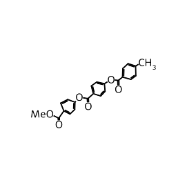 COC(=O)c1ccc(OC(=O)c2ccc(OC(=O)c3ccc(C)cc3)cc2)cc1